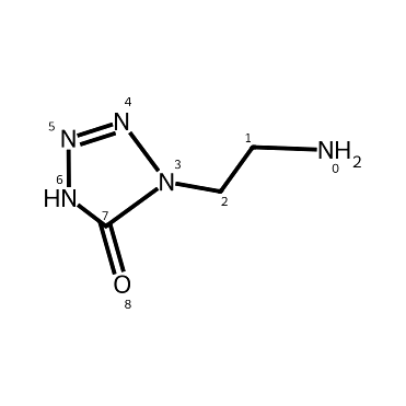 NCCn1nn[nH]c1=O